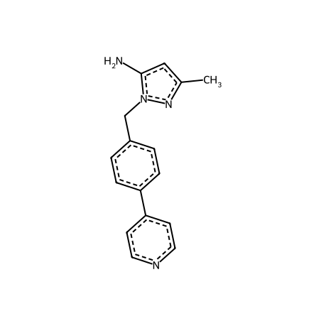 Cc1cc(N)n(Cc2ccc(-c3ccncc3)cc2)n1